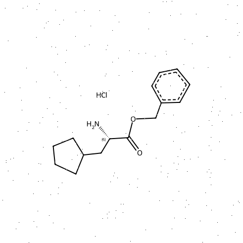 Cl.N[C@@H](CC1CCCC1)C(=O)OCc1ccccc1